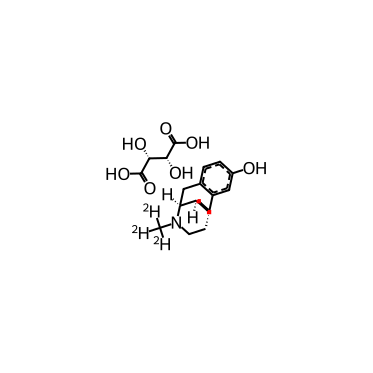 O=C(O)[C@H](O)[C@@H](O)C(=O)O.[2H]C([2H])([2H])N1CC[C@@]23CCCC[C@@H]2[C@@H]1Cc1ccc(O)cc13